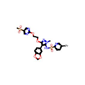 CC(C)c1ccc(S(=O)(=O)Nc2c(-c3ccc4c(c3)OCO4)c(OCCOc3ncc(S(C)(=O)=O)cn3)nn2C)nc1